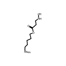 CCCCCCCCCCCCCCOC(=O)CCNCCC